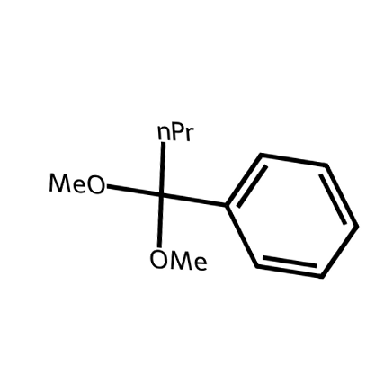 CCCC(OC)(OC)c1ccccc1